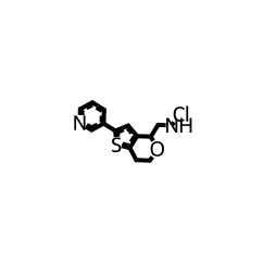 ClNCC1OCCc2sc(-c3cccnc3)cc21